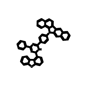 c1ccc(C2=NC(c3cccc4oc5ccccc5c34)NC(c3ccc(-n4c5cc6ccccc6cc5c5ccc6ccccc6c54)cc3)=N2)cc1